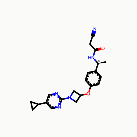 C[C@H](NC(=O)CC#N)c1ccc(OC2CN(c3ncc(C4CC4)cn3)C2)cc1